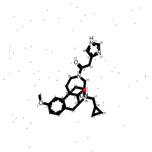 COc1ccc2c(c1)C13CCN(C(=O)Cc4c[nH]cn4)CCC1(O)C(C2)N(CC1CC1)CC3